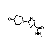 NC(=O)c1cnc(N2CCC(=O)CC2)s1